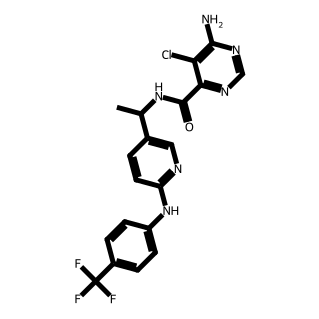 CC(NC(=O)c1ncnc(N)c1Cl)c1ccc(Nc2ccc(C(F)(F)F)cc2)nc1